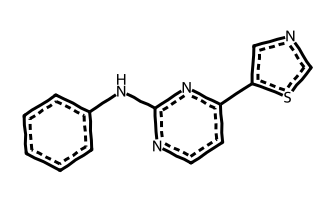 c1ccc(Nc2nccc(-c3cncs3)n2)cc1